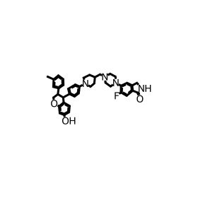 Cc1cccc(C2COc3cc(O)ccc3C2c2ccc(N3CCC(CN4CCN(c5cc6c(cc5F)C(=O)NC6)CC4)CC3)cc2)c1